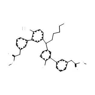 CCCCCC(c1ccc(O)c(-c2cccc(CC(=O)OC)c2)c1)c1ccc(O)c(-c2cccc(CC(=O)OC)c2)c1